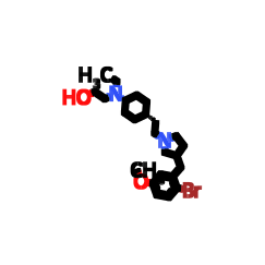 CCN(CCO)[C@H]1CC[C@H](CCN2CCC(Cc3cc(OC)ccc3Br)C2)CC1